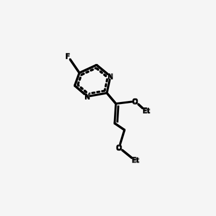 CCOC/C=C(\OCC)c1ncc(F)cn1